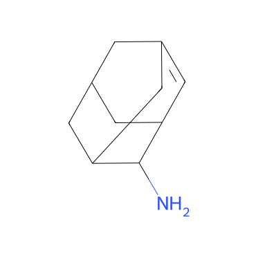 NC1C2C=C3CC(C2)CC1C3